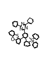 C[Si](c1ccccc1)(c1ccccc1)c1ccccc1-c1ccc(-c2nc(C3=CC=CCC3)nc(-c3ccccc3)n2)cc1-c1cccc2c1Sc1ccccc1O2